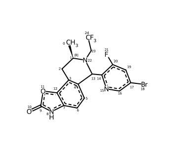 C[C@@H]1Cc2c(ccc3[nH]c(=O)oc23)C(c2ncc(Br)cc2F)N1CC(F)(F)F